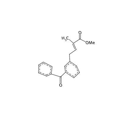 COC(=O)/C(C)=C/Cc1cccc(C(=O)c2ccccc2)c1